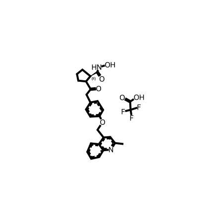 Cc1cc(COc2ccc(CC(=O)C3CCC[C@H]3C(=O)NO)cc2)c2ccccc2n1.O=C(O)C(F)(F)F